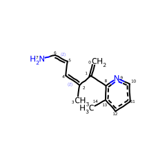 C=C(/C(C)=C\C=C/N)c1ncccc1C